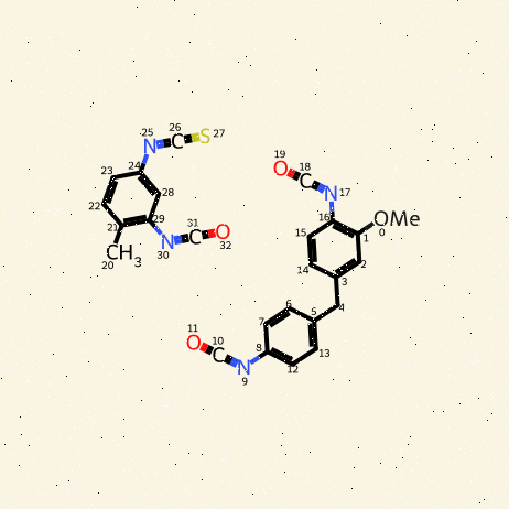 COc1cc(Cc2ccc(N=C=O)cc2)ccc1N=C=O.Cc1ccc(N=C=S)cc1N=C=O